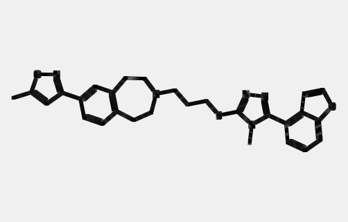 Cc1cc(-c2ccc3c(c2)CCN(CCCSc2nnc(-c4cccc5occc45)n2C)CC3)no1